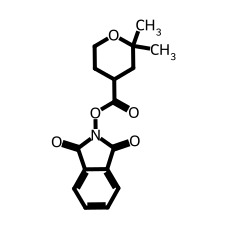 CC1(C)CC(C(=O)ON2C(=O)c3ccccc3C2=O)CCO1